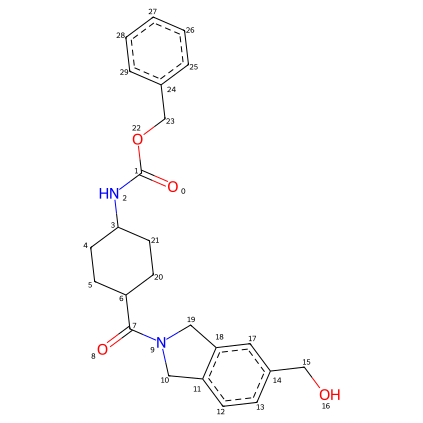 O=C(NC1CCC(C(=O)N2Cc3ccc(CO)cc3C2)CC1)OCc1ccccc1